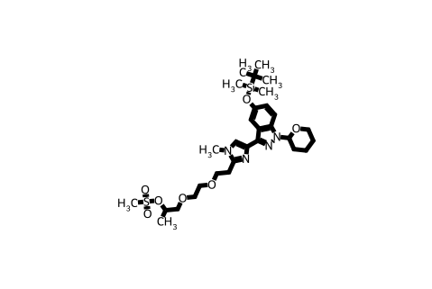 CC(COCCOCCc1nc(-c2nn(C3CCCCO3)c3ccc(O[Si](C)(C)C(C)(C)C)cc23)cn1C)OS(C)(=O)=O